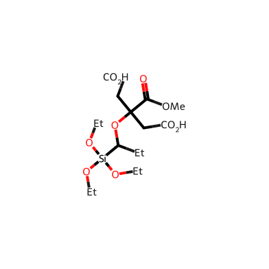 CCO[Si](OCC)(OCC)C(CC)OC(CC(=O)O)(CC(=O)O)C(=O)OC